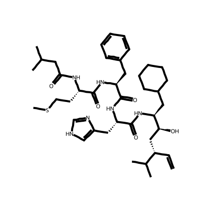 C=C[C@@H](C[C@H](O)[C@H](CC1CCCCC1)NC(=O)[C@H](Cc1c[nH]cn1)NC(=O)[C@H](Cc1ccccc1)NC(=O)[C@H](CCSC)NC(=O)CC(C)C)C(C)C